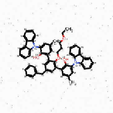 CCOCCCOc1c(-c2cc(C)cc(-n3c4ccccc4c4ccccc43)c2O)cc(Cc2ccccc2)cc1-c1cc(C)cc(-n2c3ccccc3c3ccccc32)c1O